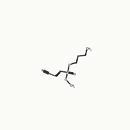 CCCCOP(=O)(C=CC#N)OC